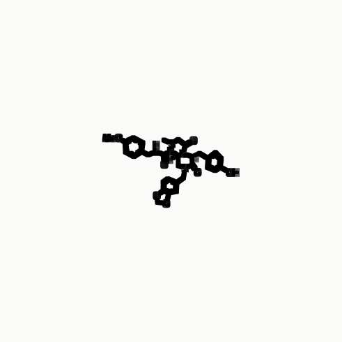 COc1ccc(CNC(=O)N2[C@H]3CN(Cc4ccc5c(c4)OCO5)C(=O)[C@H](Cc4ccc(O)cc4)N3C(=O)CN2C)cc1